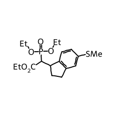 CCOC(=O)C(C1CCc2cc(SC)ccc21)P(=O)(OCC)OCC